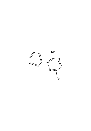 Nc1ncc(Br)nc1-c1ccccn1